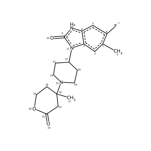 Cc1cc2c(cc1F)[nH]c(=O)n2C1CCN(C2(C)CCOC(=O)C2)CC1